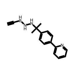 C#CBNNC(C)(C)c1ccc(-c2ccccn2)cc1